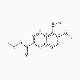 CCOC(=O)c1cnc2c(OC)c(OC)ccc2c1